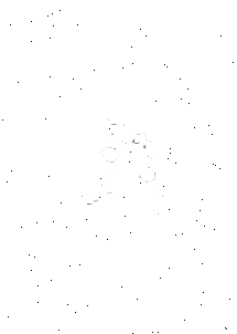 Clc1cnc2nc1Nc1cccc(c1)OCCc1cc(CN3CCNCC3)cc(c1)N2.O=C(O)C(F)(F)F.O=C(O)C(F)(F)F.O=C(O)C(F)(F)F